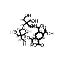 O=C(O)c1cc(C(=O)O)c(C(=O)O)cc1C(=O)O.OCC(CO)(CO)COCC(CO)(CO)CO